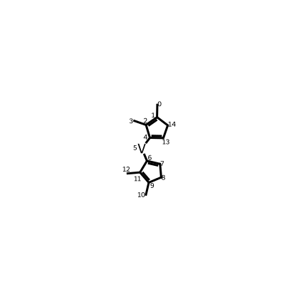 CC1=C(C)[C]([V][C]2=CCC(C)=C2C)=CC1